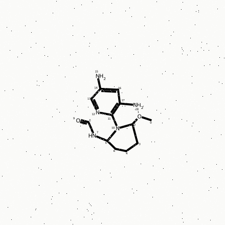 COC1CCCC(NC=O)N1c1ncc(N)cc1N